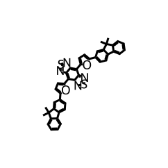 CC1(C)c2ccccc2-c2ccc(-c3ccc(-c4c5c(c(-c6ccc(-c7ccc8c(c7)C(C)(C)c7ccccc7-8)o6)c6nsnc46)N=S=N5)o3)cc21